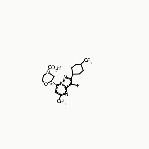 Cc1cc([C@H]2CN(C(=O)O)CCO2)n2nc(C3CCC(C(F)(F)F)CC3)c(F)c2n1